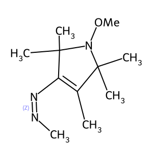 C/N=N\C1=C(C)C(C)(C)N(OC)C1(C)C